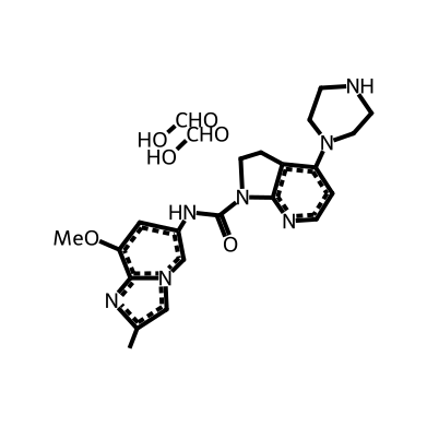 COc1cc(NC(=O)N2CCc3c(N4CCNCC4)ccnc32)cn2cc(C)nc12.O=CO.O=CO